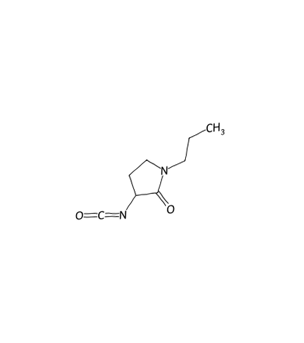 CCCN1CCC(N=C=O)C1=O